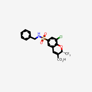 O=C(O)C1=Cc2cc(S(=O)(=O)NCc3ccccc3)cc(Cl)c2O[C@@H]1C(F)(F)F